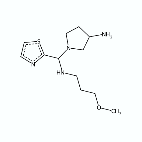 COCCCNC(c1nccs1)N1CCC(N)C1